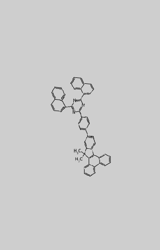 CC1(C)c2cc(-c3ccc(-c4nc(-c5cccc6ccccc56)nc(-c5cccc6ccccc56)n4)cc3)ccc2-c2c1c1ccccc1c1ccccc21